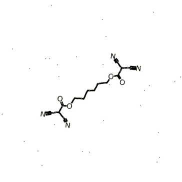 N#CC(C#N)C(=O)OCCCCCCOC(=O)C(C#N)C#N